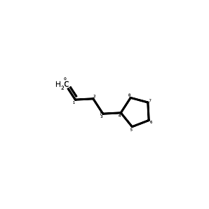 C=CC[C]C1CCCC1